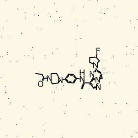 C=C(Nc1ccc(N2CCN(C(=O)CC)CC2)cc1)c1cnn2ccc(N3CCC(F)C3)nc12